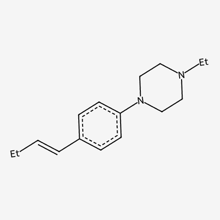 CC/C=C/c1ccc(N2CCN(CC)CC2)cc1